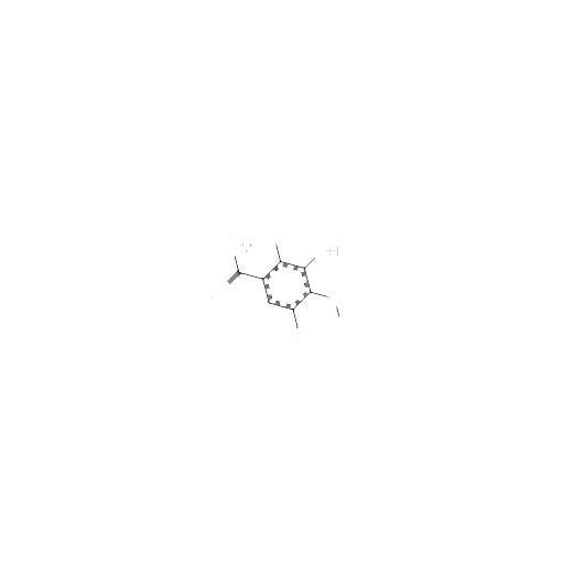 CCOc1c(Br)cc(C(=O)OC)c(Cl)c1O